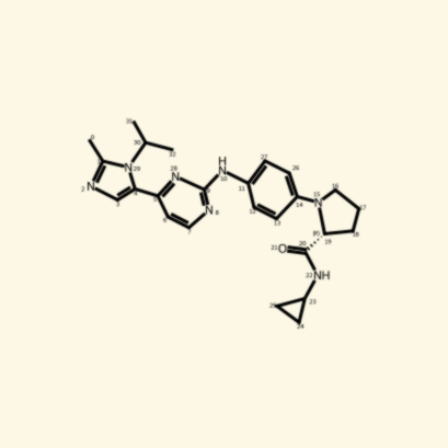 Cc1ncc(-c2ccnc(Nc3ccc(N4CCC[C@@H]4C(=O)NC4CC4)cc3)n2)n1C(C)C